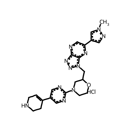 Cl.Cn1cc(-c2cnc3nnn(CC4CN(c5ncc(C6=CCNCC6)cn5)CCO4)c3n2)cn1